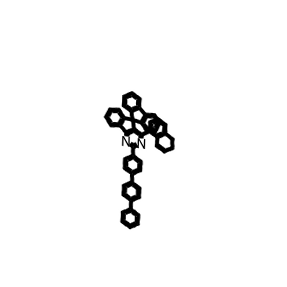 C1=Cc2c(cccc2-c2nc(-c3ccc(-c4ccc(-c5ccccc5)cc4)cc3)nc3c2C2(c4ccccc4-c4ccccc42)c2ccccc2-3)CC1